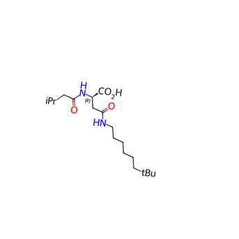 CC(C)CC(=O)N[C@H](CC(=O)NCCCCCCC(C)(C)C)C(=O)O